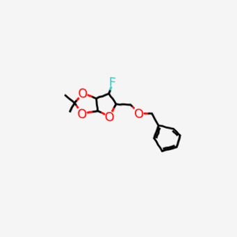 CC1(C)OC2OC(COCc3ccccc3)C(F)C2O1